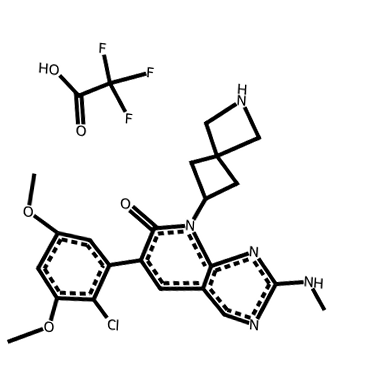 CNc1ncc2cc(-c3cc(OC)cc(OC)c3Cl)c(=O)n(C3CC4(CNC4)C3)c2n1.O=C(O)C(F)(F)F